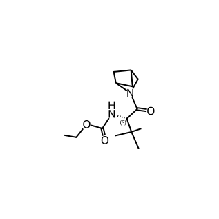 CCOC(=O)N[C@H](C(=O)N1CC2CC1C2)C(C)(C)C